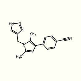 Cc1cc(-c2ccc(C#N)cc2)c(C)n1Cc1c[nH]nn1